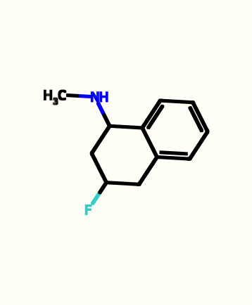 CNC1CC(F)Cc2ccccc21